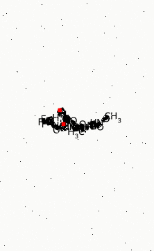 COCCNC(=O)N1CCN(CCN(C)C(=O)c2cccc(C(=O)Nc3ccc(N4CCCCC4)cc3C3CC(C(=O)NCc4cccc(C(F)(F)F)c4)CCN3)c2)CC1